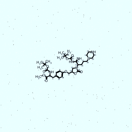 COC(=O)C(Cc1ccc(OCC2CN(C(CCCN3CCNCC3)C(=N)NC(=O)OC(C)(C)C)C(=O)O2)cc1)NC(=O)OC(C)(C)C